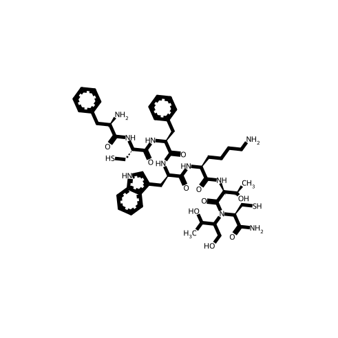 CC(O)C(CO)N(C(=O)[C@@H](NC(=O)[C@H](CCCCN)NC(=O)[C@@H](Cc1c[nH]c2ccccc12)NC(=O)[C@H](Cc1ccccc1)NC(=O)[C@H](CS)NC(=O)[C@H](N)Cc1ccccc1)[C@@H](C)O)[C@@H](CS)C(N)=O